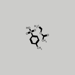 C=COC(C)=O.Cc1ccc(S(=O)(=O)O)cc1